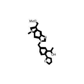 COCc1cn(C)c2cc3c(cc12)ncn3Cc1ccc(C2CCCO2)c(C(C)O)c1